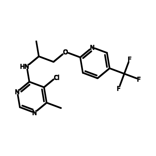 Cc1ncnc(NC(C)COc2ccc(C(F)(F)F)cn2)c1Cl